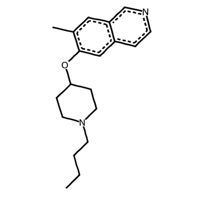 CCCCN1CCC(Oc2cc3ccncc3cc2C)CC1